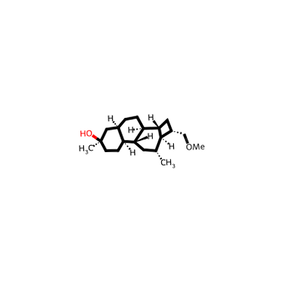 COC[C@H]1C[C@H]2[C@@H]3CC[C@@H]4C[C@](C)(O)CC[C@@H]4[C@H]3C[C@@H](C)[C@H]12